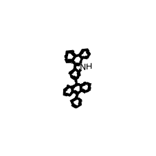 c1ccc(-c2c3ccccc3c(-c3ccc4c(c3)[nH]c3c5ccccc5c5ccccc5c43)c3ccccc23)cc1